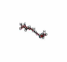 CCOc1cc2oc(-c3ccc(NCCOCCOCCOCCOc4cccc5c4C(=O)N(C4CCC(=O)NC4=O)C5=O)cc3Cl)cc(=O)c2cc1-c1cc(F)cc(C=O)c1